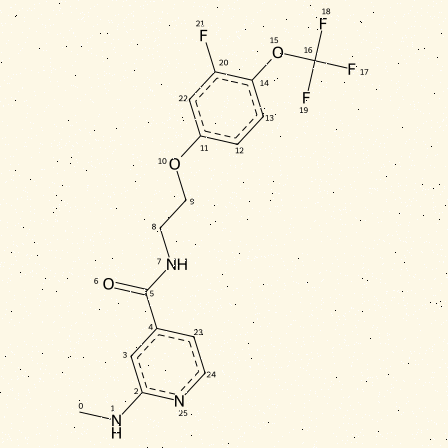 CNc1cc(C(=O)NCCOc2ccc(OC(F)(F)F)c(F)c2)ccn1